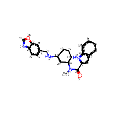 CCN(C(=O)c1cc2ccccc2[nH]1)C1CCCC(NCc2ccc3ncoc3c2)C1